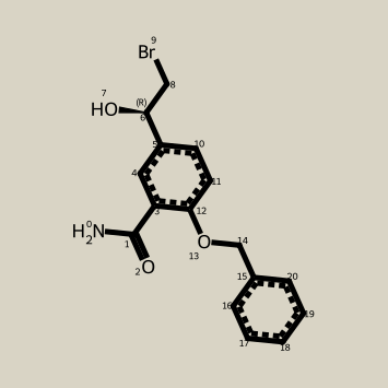 NC(=O)c1cc([C@@H](O)CBr)ccc1OCc1ccccc1